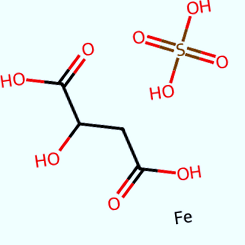 O=C(O)CC(O)C(=O)O.O=S(=O)(O)O.[Fe]